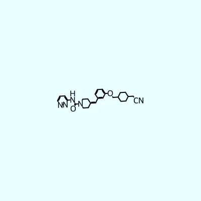 N#CCC1CCC(COc2cccc(C=C3CCN(C(=O)Nc4cccnn4)CC3)c2)CC1